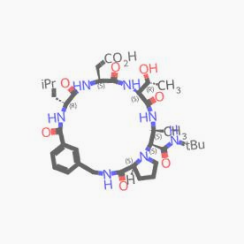 CC(C)C[C@H]1NC(=O)c2cccc(c2)CNC(=O)[C@@H]2CCCN2[C@H](C(=O)NC(C)(C)C)[C@H](C)NC(=O)[C@H]([C@@H](C)O)NC(=O)[C@H](CC(=O)O)NC1=O